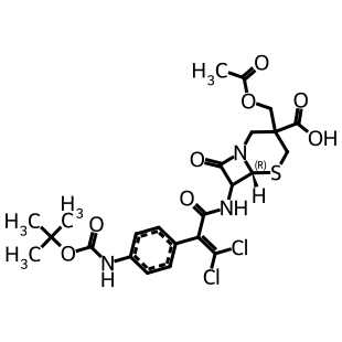 CC(=O)OCC1(C(=O)O)CS[C@@H]2C(NC(=O)C(=C(Cl)Cl)c3ccc(NC(=O)OC(C)(C)C)cc3)C(=O)N2C1